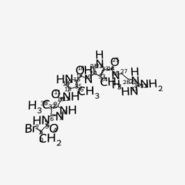 C=C(Br)C(=O)Nc1n[nH]c(C(=O)Nc2c[nH]c(C(=O)Nc3c[nH]c(C(=O)NCCNC(=N)N)c3C)c2C)c1C